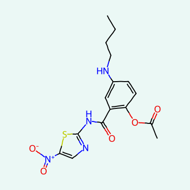 CCCCNc1ccc(OC(C)=O)c(C(=O)Nc2ncc([N+](=O)[O-])s2)c1